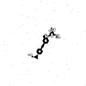 C[C@@](CCn1ncc2cc(C#Cc3ccc([C@@H]4C[C@H]4CO)cc3)ccc21)(C(=O)NO)S(C)(=O)=O